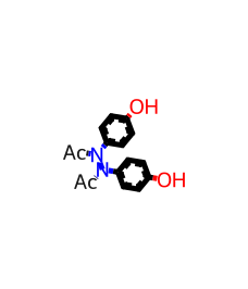 CC(=O)N(c1ccc(O)cc1)N(C(C)=O)c1ccc(O)cc1